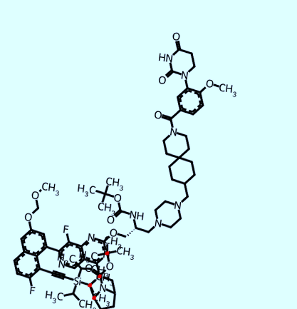 COCOc1cc(-c2ncc3c(N4CC5CCC(C4)N5C(=O)OC(C)(C)C)nc(OC[C@@H](CN4CCN(CC5CCC6(CC5)CCN(C(=O)c5ccc(OC)c(N7CCC(=O)NC7=O)c5)CC6)CC4)NC(=O)OC(C)(C)C)nc3c2F)c2c(C#C[Si](C(C)C)(C(C)C)C(C)C)c(F)ccc2c1